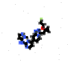 Cn1nccc1Nc1nccc(-c2ccn3c(CC4(OCCF)CC4)nnc3c2)n1